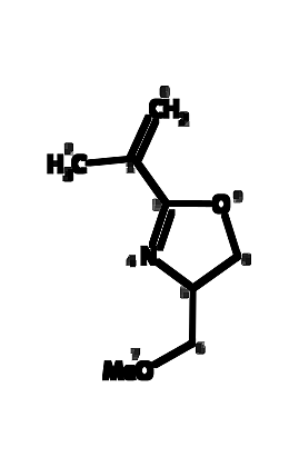 C=C(C)C1=NC(COC)CO1